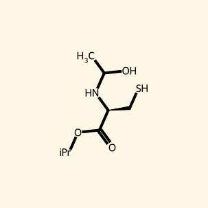 CC(O)N[C@@H](CS)C(=O)OC(C)C